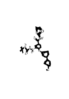 COc1ccc(-c2cccc(Oc3ccc(C(=O)Nc4ncco4)cc3[S+]([O-])NC(=O)NC(C)(C)C)c2)cc1